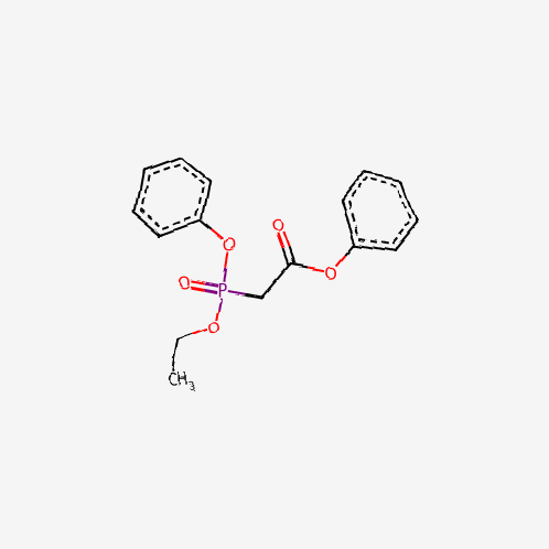 CCOP(=O)(CC(=O)Oc1ccccc1)Oc1ccccc1